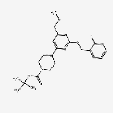 COCc1cc(OCc2ccccc2F)nc(N2CCN(C(=O)OC(C)(C)C)CC2)c1